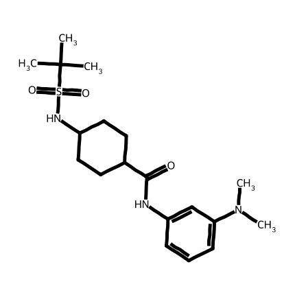 CN(C)c1cccc(NC(=O)C2CCC(NS(=O)(=O)C(C)(C)C)CC2)c1